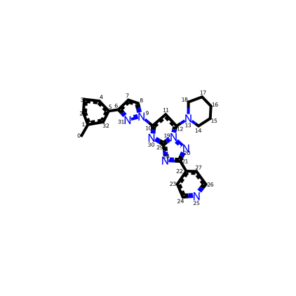 Cc1cccc(-c2ccn(-c3cc(N4CCCCC4)n4nc(-c5ccncc5)nc4n3)n2)c1